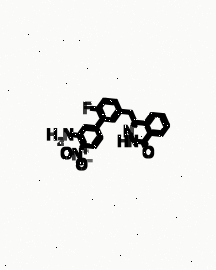 Nc1cc(-c2cc(Cc3n[nH]c(=O)c4ccccc34)ccc2F)ccc1[N+](=O)[O-]